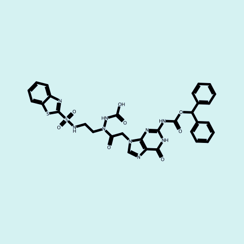 O=C(O)NN(CCNS(=O)(=O)c1nc2ccccc2s1)C(=O)Cn1cnc2c(=O)[nH]c(NC(=O)OC(c3ccccc3)c3ccccc3)nc21